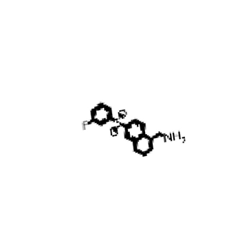 NCC1=CCCc2cc(S(=O)(=O)c3cccc(F)c3)ccc21